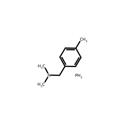 Cc1ccc(CN(C)C)cc1.P